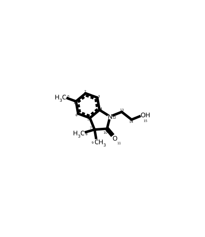 Cc1ccc2c(c1)C(C)(C)C(=O)N2CCO